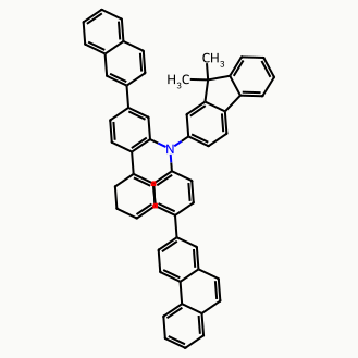 CC1(C)c2ccccc2-c2ccc(N(c3ccc(-c4ccc5c(ccc6ccccc65)c4)cc3)c3cc(-c4ccc5ccccc5c4)ccc3C3=CC=CCC3)cc21